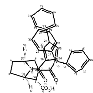 O=C(O)[C@@H]1[C@H]2CC[C@@H](CN1C(=O)N(c1ccccc1)c1ccccc1)N2C(=O)C1=NC(c2ccccc2)C=N1